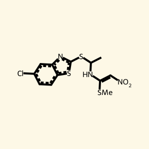 CSC(=C[N+](=O)[O-])NC(C)Sc1nc2cc(Cl)ccc2s1